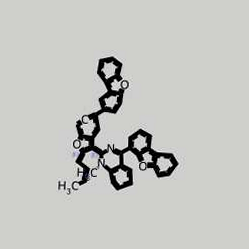 C\C=C/C=c1/oc2ccc(-c3ccc4oc5ccccc5c4c3)cc2/c1=C1\N=C(c2cccc3c2oc2ccccc23)c2ccccc2N1C